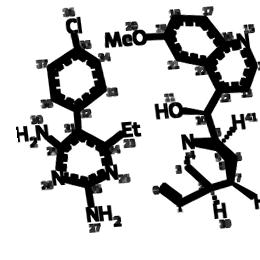 C=C[C@H]1C[N@]2CC[C@H]1C[C@@H]2[C@@H](O)c1ccnc2ccc(OC)cc12.CCc1nc(N)nc(N)c1-c1ccc(Cl)cc1